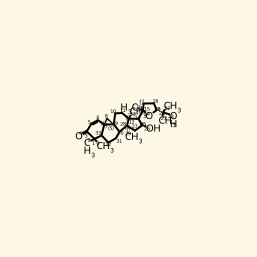 CC1(C)C(=O)C=C[C@]23C[C@]24CC[C@]2(C)C([C@]5(C)CC[C@H](C(C)(C)O)O5)[C@@H](O)C[C@@]2(C)C4CCC13